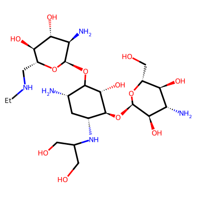 CCNC[C@H]1O[C@H](OC2[C@@H](N)C[C@@H](NC(CO)CO)[C@H](O[C@H]3O[C@H](CO)[C@@H](O)[C@H](N)[C@H]3O)[C@H]2O)[C@H](N)[C@@H](O)[C@@H]1O